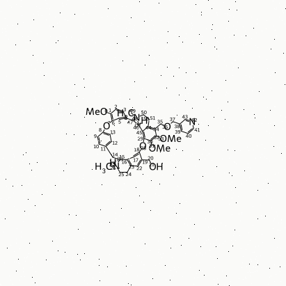 COc1ccc2cc1Oc1ccc(cc1)C[C@H]1c3cc(c(CO)cc3CCN1C)Oc1c(OC)c(OC)c(COCc3cccnc3)c3c1[C@H](C2)N(C)CC3